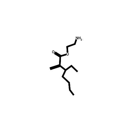 C=C(C(=O)OCCN)C(CC)CCCC